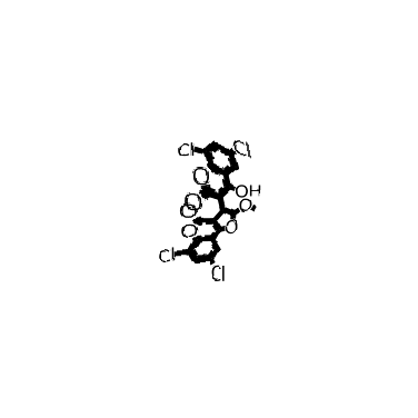 COC1Oc2c(c(=O)oc3c(Cl)cc(Cl)cc23)C1c1c(O)c2cc(Cl)cc(Cl)c2oc1=O